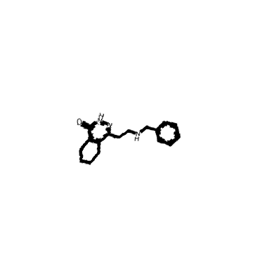 O=c1[nH]nc(CCNCc2ccccc2)c2c1CCCC2